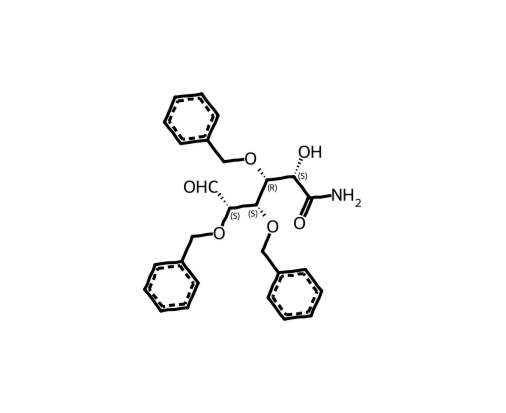 NC(=O)[C@@H](O)[C@@H](OCc1ccccc1)[C@H](OCc1ccccc1)[C@@H](C=O)OCc1ccccc1